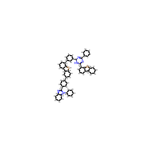 c1ccc(C2=NC(c3cccc(-c4cccc5c4sc4ccc(-c6ccc(-c7nc8ccccc8n7-c7ccccc7)cc6)cc45)c3)NC(c3cccc4c3sc3ccccc34)=N2)cc1